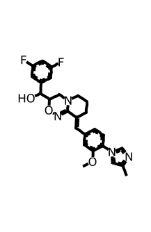 COc1cc(/C=C2\CCCN3CC(C(O)c4cc(F)cc(F)c4)ON=C23)ccc1-n1cnc(C)c1